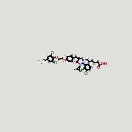 Cc1cc(Cl)c(OCCOc2ccc(CC(CNCCCCCC(=O)O)C(=O)N(Cc3cccc(Cl)c3Cl)C3CC3)cc2)c(Cl)c1